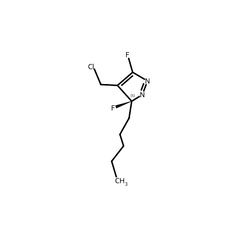 CCCCC[C@@]1(F)N=NC(F)=C1CCl